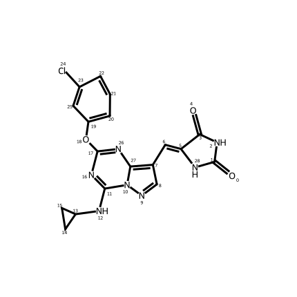 O=C1NC(=O)C(=Cc2cnn3c(NC4CC4)nc(Oc4cccc(Cl)c4)nc23)N1